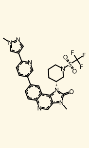 Cn1cc(-c2ccc(-c3ccc4ncc5c(c4c3)n([C@@H]3CCCN(S(=O)(=O)C(F)(F)F)C3)c(=O)n5C)cn2)cn1